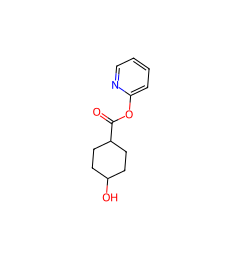 O=C(Oc1ccccn1)C1CCC(O)CC1